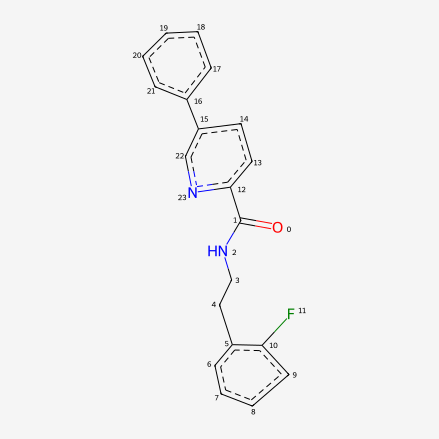 O=C(NCCc1ccccc1F)c1ccc(-c2ccccc2)cn1